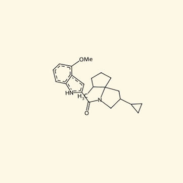 COc1cccc2[nH]c(C(=O)N3CC(C4CC4)CC34CCCC4C)cc12